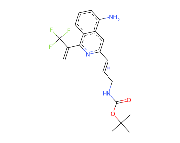 C=C(c1nc(/C=C/CNC(=O)OC(C)(C)C)cc2c(N)cccc12)C(F)(F)F